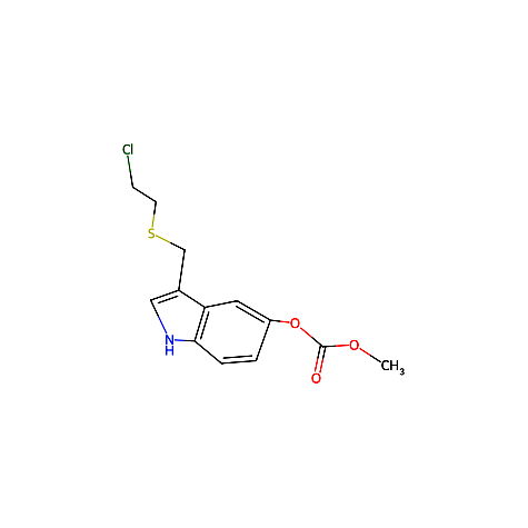 COC(=O)Oc1ccc2[nH]cc(CSCCCl)c2c1